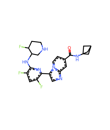 O=C(NC12CC(C1)C2)c1ccn2c(-c3nc(NC4CNCCC4F)c(F)cc3F)cnc2c1